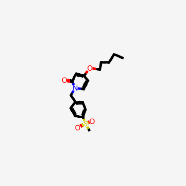 CCCCCOc1ccn(Cc2ccc(S(C)(=O)=O)cc2)c(=O)c1